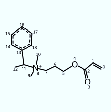 C=CC(=O)OCCC[N+](C)(C)C(C)c1ccccc1